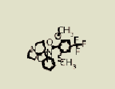 COc1cc(C(F)(F)F)cc(SC)c1C(=O)N[C@]12CCCN3CCC[C@@]31Cc1ccccc12